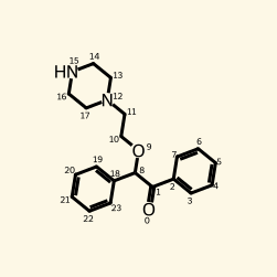 O=C(c1ccccc1)C(OCCN1CCNCC1)c1ccccc1